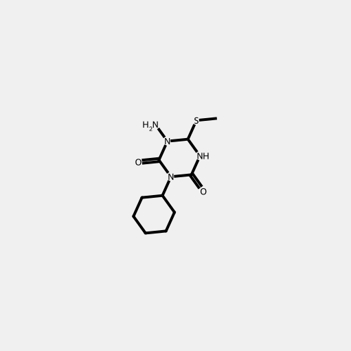 CSC1NC(=O)N(C2CCCCC2)C(=O)N1N